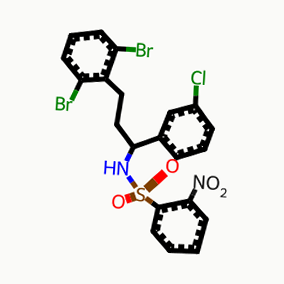 O=[N+]([O-])c1ccccc1S(=O)(=O)NC(CCc1c(Br)cccc1Br)c1cccc(Cl)c1